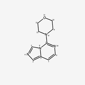 c1cc2cncn2c(N2CCOCC2)n1